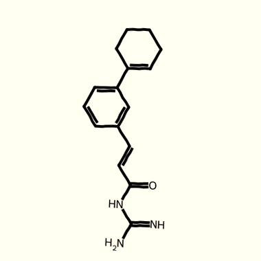 N=C(N)NC(=O)C=Cc1cccc(C2=CCCCC2)c1